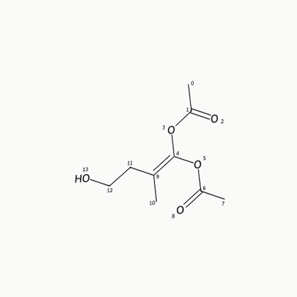 CC(=O)OC(OC(C)=O)=C(C)CCO